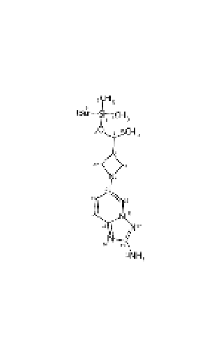 CC(O[Si](C)(C)C(C)(C)C)C1CN(c2ccc3nc(N)nn3c2)C1